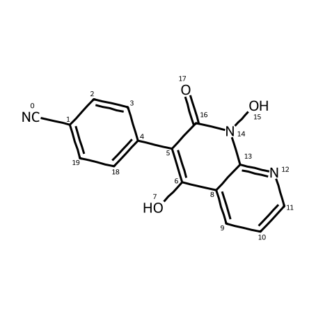 N#Cc1ccc(-c2c(O)c3cccnc3n(O)c2=O)cc1